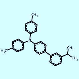 Cc1ccc(N(c2ccc(C)cc2)c2ccc(-c3cccc(C(C)C)c3)cc2)cc1